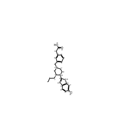 CCC[C@H]1CN(Cc2cccc(CC(=O)O)c2)CCN1c1nc2ccc(Cl)cc2s1